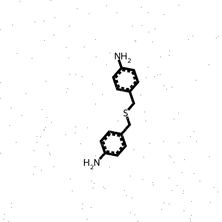 Nc1ccc(CSCc2ccc(N)cc2)cc1